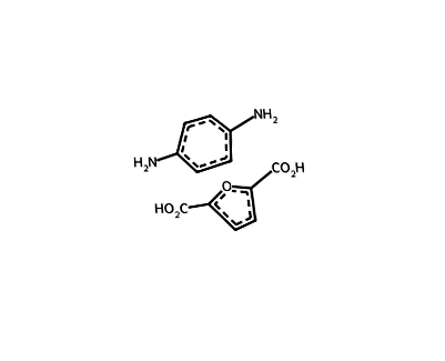 Nc1ccc(N)cc1.O=C(O)c1ccc(C(=O)O)o1